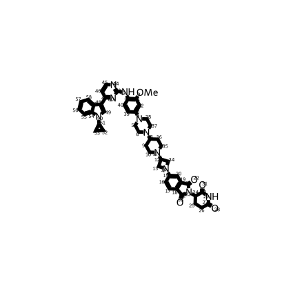 COc1cc(N2CCN(C3CCN(C4CN(c5ccc6c(c5)C(=O)N(C5CCC(=O)NC5=O)C6=O)C4)CC3)CC2)ccc1Nc1nccc(-c2cn(C3CC3)c3ccccc23)n1